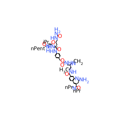 C=N/C=C(\C=C(/C)NC(=O)c1ccc2c(c1)N=C(N)CC(C(=O)N(CCC)CCC)=C2)CNC(=O)OCc1ccc(NC(=O)[C@H](CCCNC(N)=O)NC(=O)[C@@H](NC(=O)CCCCC)C(C)C)cc1